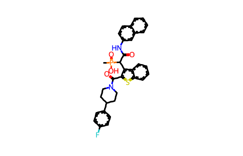 CP(=O)(O)C(C(=O)Nc1ccc2ccccc2c1)c1c(C(=O)N2CCC(c3ccc(F)cc3)CC2)sc2ccccc12